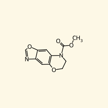 COC(=O)N1CCOc2cc3ncoc3cc21